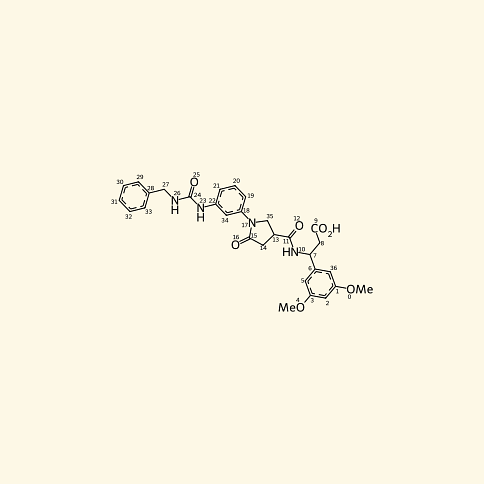 COc1cc(OC)cc(C(CC(=O)O)NC(=O)C2CC(=O)N(c3cccc(NC(=O)NCc4ccccc4)c3)C2)c1